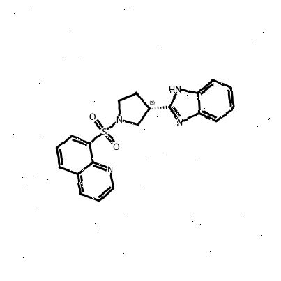 O=S(=O)(c1cccc2cccnc12)N1CC[C@H](c2nc3ccccc3[nH]2)C1